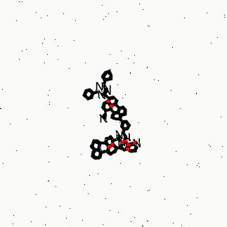 N#Cc1ccc(-c2ccc(-c3cccc4cccc(-c5ccc(-c6nc(-c7ccccc7)nc(-c7cccc(-c8ccc(-c9ccccc9C#N)c9c(-c%10ccc(-c%11nc(-c%12ccccc%12)nc(-c%12ccccc%12)n%11)cc%10)cccc89)c7)n6)cc5)c34)cc2)cc1